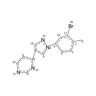 Cc1ccc(-n2cc(-c3ccncn3)cn2)cc1Br